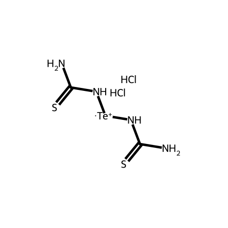 Cl.Cl.NC(=S)N[Te+]NC(N)=S